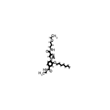 CCNC(=O)c1ccc(-n2cc(C(=O)NCCCOCC)nn2)c(OCCCCCCF)c1